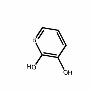 Oc1bcccc1O